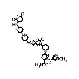 Cn1cc(Nc2nc(N3CCC[C@H](N4CC5(CN(CC6CCN(c7ccc(NC8CCC(=O)NC8=O)nc7)CC6)C5)OC4=O)C3)cnc2C(N)=O)cn1